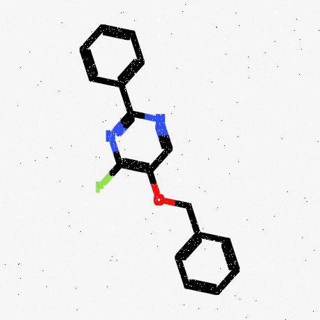 Fc1nc(-c2ccccc2)ncc1OCc1ccccc1